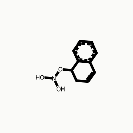 ON(O)OC1CC=Cc2ccccc21